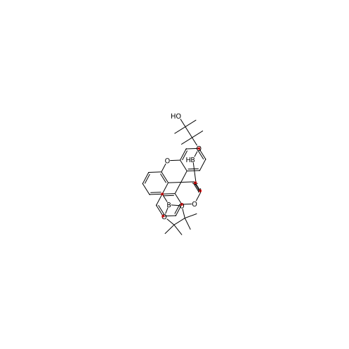 CC(C)(O)C(C)(C)OBc1cccc2c1C1(c3ccccc3O2)c2ccccc2Oc2cccc(B3OC(C)(C)C(C)(C)O3)c21